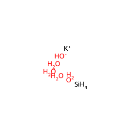 O.O.O.O.[K+].[OH-].[SiH4]